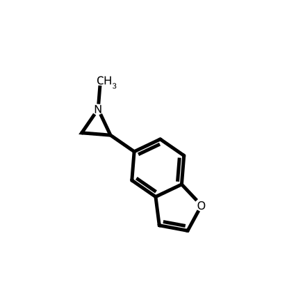 CN1CC1c1ccc2occc2c1